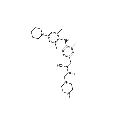 Cc1cc(CN(O)C(=O)CN2CCN(C)CC2)ccc1Nc1c(C)cc(N2CCCCC2)cc1C